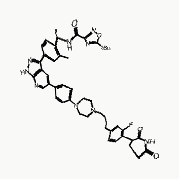 Cc1cc(-c2n[nH]c3ncc(-c4ccc(N5CCN(CCc6ccc(C7CCC(=O)NC7=O)c(F)c6)CC5)cc4)cc23)ccc1[C@@H](C)NC(=O)c1noc(C(C)(C)C)n1